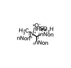 CCCCCCCCCC(CCCCCCCCC)[N+](C)(CCCCCC)CCCCCCCCC.O=S(=O)([O-])O